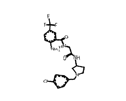 Nc1ccc(C(F)(F)F)cc1C(=O)NCC(=O)NC1CCN(Cc2ccc(Cl)cc2)C1